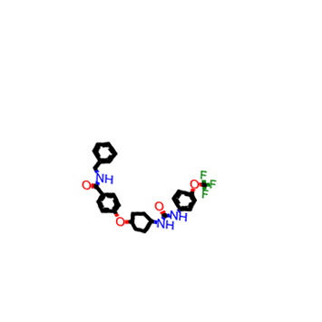 O=C(Nc1ccc(OC(F)(F)F)cc1)NC1CCC(Oc2ccc(C(=O)NCc3ccccc3)cc2)CC1